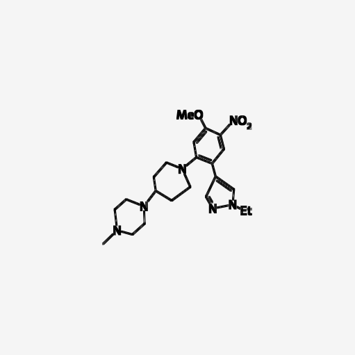 CCn1cc(-c2cc([N+](=O)[O-])c(OC)cc2N2CCC(N3CCN(C)CC3)CC2)cn1